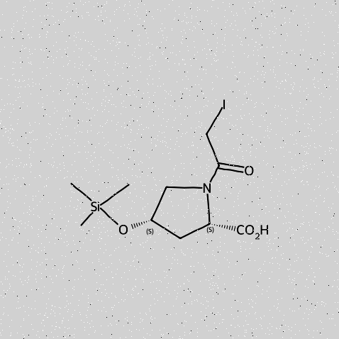 C[Si](C)(C)O[C@H]1C[C@@H](C(=O)O)N(C(=O)CI)C1